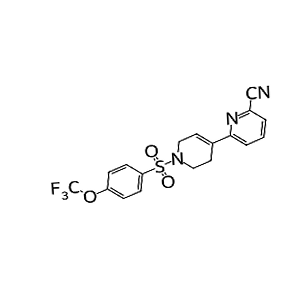 N#Cc1cccc(C2=CCN(S(=O)(=O)c3ccc(OC(F)(F)F)cc3)CC2)n1